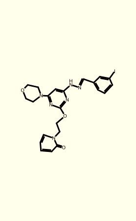 O=c1ccccn1CCOc1nc(NN=Cc2cccc(I)c2)cc(N2CCOCC2)n1